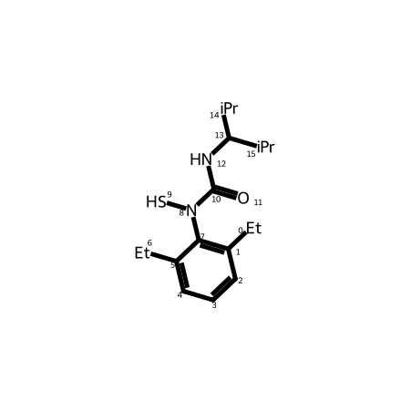 CCc1cccc(CC)c1N(S)C(=O)NC(C(C)C)C(C)C